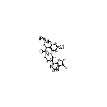 CC(C)NCC(C(=O)N1CCN(c2ncnc3c2CCC3C)CC1)c1ccc(Cl)cc1